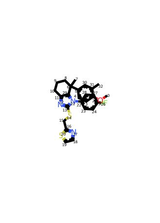 COc1ccc(C2(C)CCCc3nc(SCc4nccs4)n(-c4ccc(F)cc4)c32)cc1C